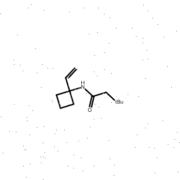 C=CC1(NC(=O)CC(C)(C)C)CCC1